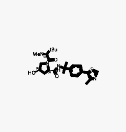 CN[C@H](C(=O)N1C[C@H](O)C[C@H]1C(=O)NC(C)(C)c1ccc(-c2scnc2C)cc1)C(C)(C)C